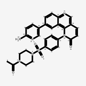 CC(=O)N1CCN(S(=O)(=O)c2ccc(-n3c(=O)ccc4cnc5ccc(-c6ccc(N)nc6)cc5c43)cc2)CC1